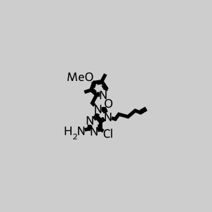 C=CCCCCn1c(=O)n(Cc2ncc(C)c(OC)c2C)c2nc(N)nc(Cl)c21